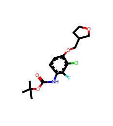 CC(C)(C)OC(=O)Nc1ccc(OCC2CCOC2)c(Cl)c1F